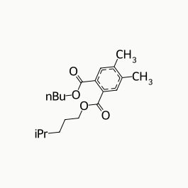 CCCCOC(=O)c1cc(C)c(C)cc1C(=O)OCCCC(C)C